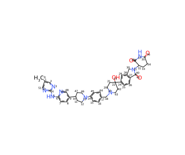 Cc1cnc(Nc2ccc(C3CCN(c4ccc(CN5CCC(O)(c6ccc7c(c6)CN(C6CCC(=O)NC6=O)C7=O)CC5)cc4)CC3)cn2)nc1